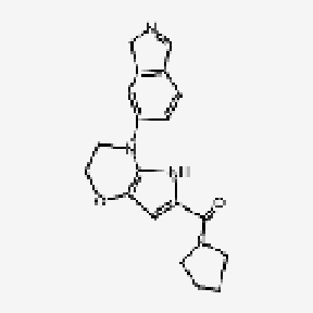 O=C(c1cc2c([nH]1)N(c1ccc3c(c1)CN=C3)CCO2)N1CCCC1